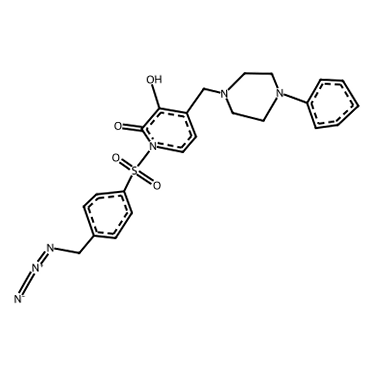 [N-]=[N+]=NCc1ccc(S(=O)(=O)n2ccc(CN3CCN(c4ccccc4)CC3)c(O)c2=O)cc1